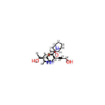 CC(=N)/C(CSCC(=O)N1C2CCC1CC(c1ccccc1C#CCO)C2)=C(/C)O